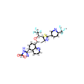 Cc1nc(-c2ccc(C(F)(F)F)nc2)sc1C(OCc1ccc(-c2noc(=O)[nH]2)c2cccnc12)C(F)(F)F